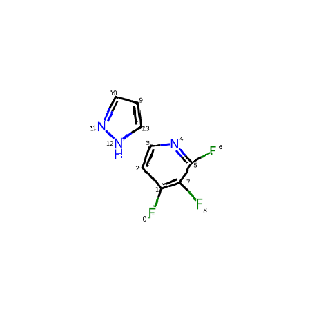 Fc1ccnc(F)c1F.c1cn[nH]c1